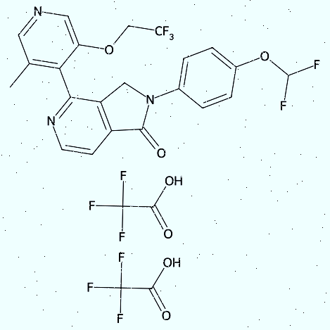 Cc1cncc(OCC(F)(F)F)c1-c1nccc2c1CN(c1ccc(OC(F)F)cc1)C2=O.O=C(O)C(F)(F)F.O=C(O)C(F)(F)F